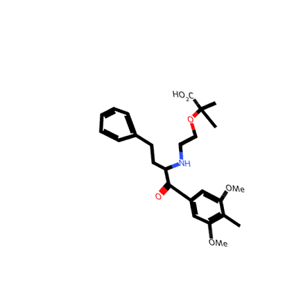 COc1cc(C(=O)C(CCc2ccccc2)NCCOC(C)(C)C(=O)O)cc(OC)c1C